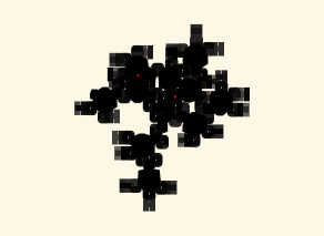 Cc1cc(C(=O)Oc2cc(C(=O)OC3OC(COC(=O)c4cc(O)c(O)c(OC(=O)c5cc(O)c(O)c(O)c5)c4)C(OC(=O)c4cc(O)c(O)c(OC(=O)c5cc(O)c(O)c(O)c5)c4)C(OC(=O)c4cc(O)c(O)c(OC(=O)c5cc(O)c(O)c(O)c5)c4)C3OC(=O)c3cc(O)c(O)c(OC(=O)c4cc(O)c(O)c(O)c4)c3)cc(O)c2O)cc(O)c1O